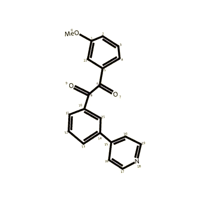 COc1cccc(C(=O)C(=O)c2cccc(-c3ccncc3)c2)c1